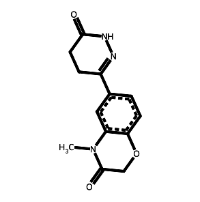 CN1C(=O)COc2ccc(C3=NNC(=O)CC3)cc21